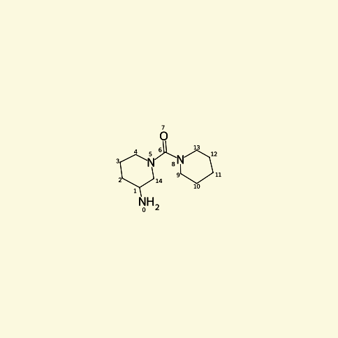 NC1CCCN(C(=O)N2CCCCC2)C1